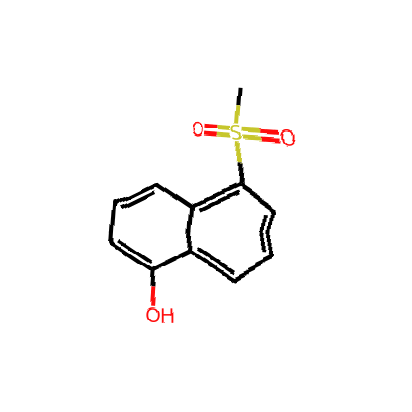 CS(=O)(=O)c1cccc2c(O)cccc12